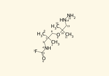 CC(C)(CNC(=O)F)COC(C)(C)CNN